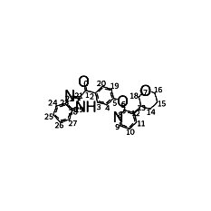 O=C(c1ccc(Oc2ncccc2[C@@H]2CCCOC2)cc1)c1nc2ccccc2[nH]1